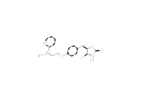 CC(C)N(CCOc1ccc(/C=C2/SC(=O)NC2=O)cc1)c1ccccn1